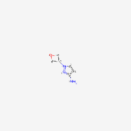 Nc1ccn(C2COC2)n1